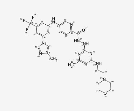 Cc1cn(-c2cc(Nc3ccc(C(=O)NNc4nc(C)cc(NCCN5CCOCC5)n4)nc3)cc(C(F)(F)F)c2)cn1